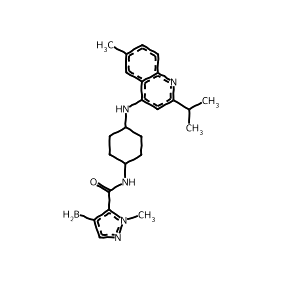 Bc1cnn(C)c1C(=O)NC1CCC(Nc2cc(C(C)C)nc3ccc(C)cc23)CC1